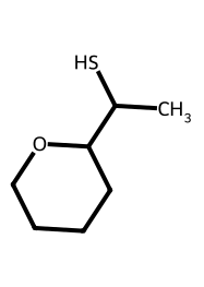 CC(S)C1CCCCO1